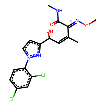 CNC(=O)C(=N/OC)/C(C)=C\C(O)c1ccn(-c2ccc(Cl)cc2Cl)n1